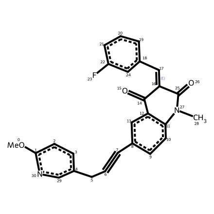 COc1ccc(CC#Cc2ccc3c(c2)C(=O)/C(=C\c2cccc(F)c2)C(=O)N3C)cn1